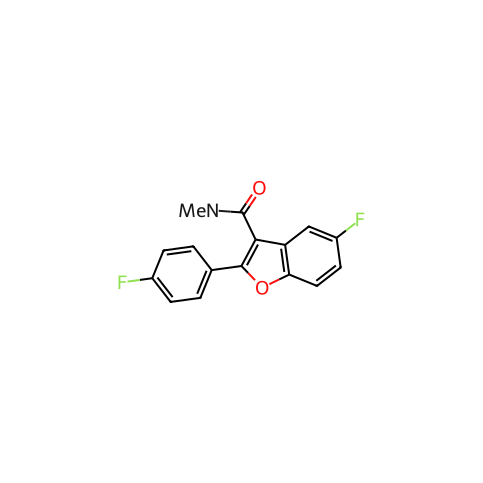 CNC(=O)c1c(-c2ccc(F)cc2)oc2ccc(F)cc12